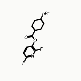 CCCC1CCC(C(=O)Oc2ccc(F)nc2F)CC1